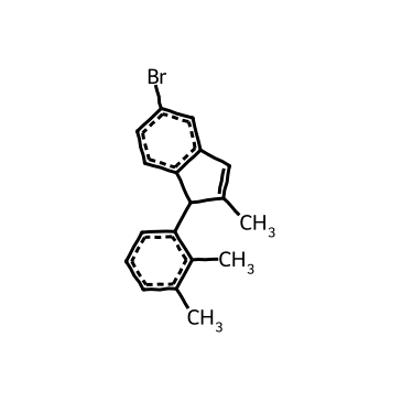 CC1=Cc2cc(Br)ccc2C1c1cccc(C)c1C